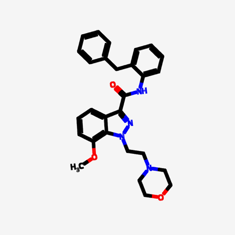 COc1cccc2c(C(=O)Nc3ccccc3Cc3ccccc3)nn(CCN3CCOCC3)c12